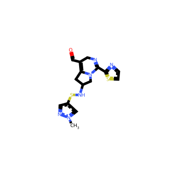 Cn1cc(SNC2CC3=C(C=O)CN=C(c4nccs4)N3C2)cn1